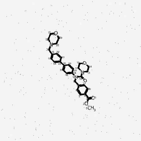 COC(=O)c1ccc(CN(C(=O)N2CCOCC2)c2ccc(-c3ccc(CN4CCOCC4)cc3)cc2)cc1